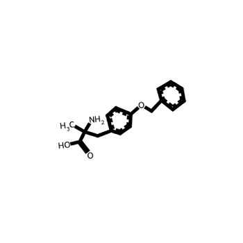 CC(N)(Cc1ccc(OCc2ccccc2)cc1)C(=O)O